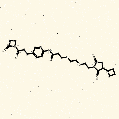 O=C(CCOCCOCCN1C(=O)CC(C2CCC2)C1=O)Nc1ccc(CCC(=O)N2CCC2=O)cc1